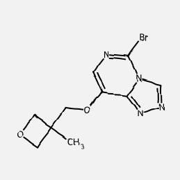 CC1(COc2cnc(Br)n3cnnc23)COC1